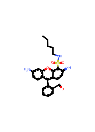 CCCCCNS(=O)(=O)c1c2oc3cc(N)ccc3c(-c3ccccc3C=O)c-2ccc1=N